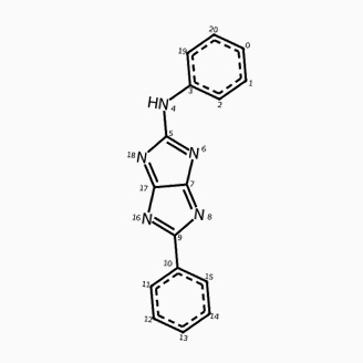 c1ccc(NC2=NC3=NC(c4ccccc4)=NC3=N2)cc1